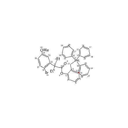 CCC(CC)(C(=O)Oc1ccccc1C[PH](c1ccccc1)(c1ccccc1)c1ccccc1)c1cc(OC)ccc1Br